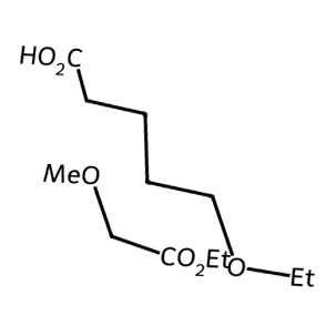 CCOC(=O)COC.CCOCCCCC(=O)O